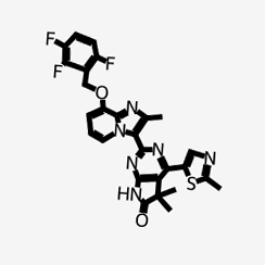 Cc1ncc(-c2nc(-c3c(C)nc4c(OCc5c(F)ccc(F)c5F)cccn34)nc3c2C(C)(C)C(=O)N3)s1